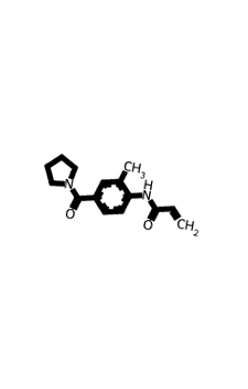 C=CC(=O)Nc1ccc(C(=O)N2CCCC2)cc1C